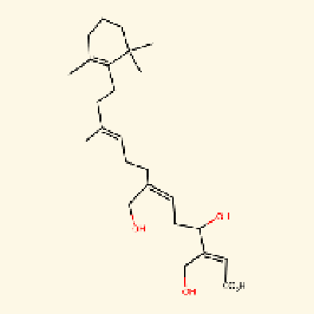 CC(=CCCC(=CCC(O)C(=CC(=O)O)CO)CO)CCC1=C(C)CCCC1(C)C